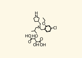 CCOc1cc(Cl)ccc1CN(CC(C)C)C[C@H]1CCNC1.O=C(O)C(O)C(O)C(=O)O